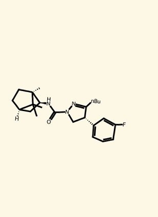 CCCCC1=NN(C(=O)N[C@H]2C[C@H]3CC[C@]2(C)C3(C)C)C[C@H]1c1cccc(F)c1